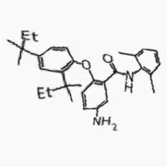 CCC(C)(C)c1ccc(Oc2ccc(N)cc2C(=O)Nc2c(C)cccc2C)c(C(C)(C)CC)c1